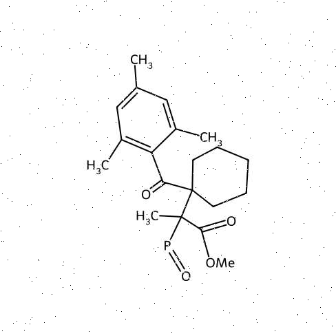 COC(=O)C(C)(P=O)C1(C(=O)c2c(C)cc(C)cc2C)CCCCC1